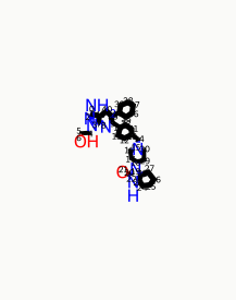 Nc1nn(CCO)c2nc(-c3ccc(CN4CCC(n5c(=O)[nH]c6ccccc65)CC4)cc3)c(-c3ccccc3)cc12